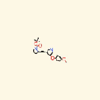 COc1ccc(Oc2cncc(C#CC3CCCN3C(=O)OC(C)(C)C)c2)cc1